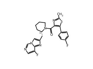 Cc1nc(C(=O)N2CCCC[C@H]2Cc2cn3cncc(F)c3n2)c(-c2ccc(F)cc2)s1